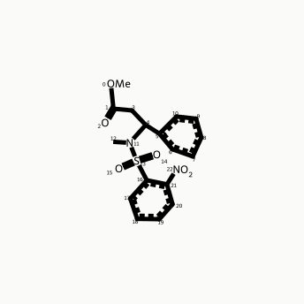 COC(=O)CC(c1ccccc1)N(C)S(=O)(=O)c1ccccc1[N+](=O)[O-]